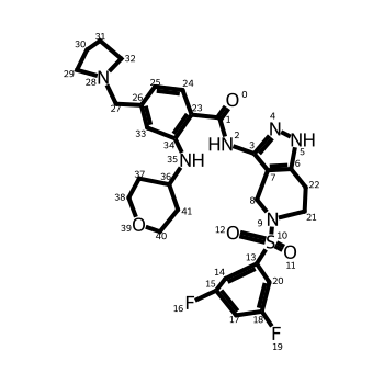 O=C(Nc1n[nH]c2c1CN(S(=O)(=O)c1cc(F)cc(F)c1)CC2)c1ccc(CN2CCCC2)cc1NC1CCOCC1